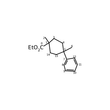 CCOC(=O)C1(C)CCC(C)(c2ccccc2)CC1